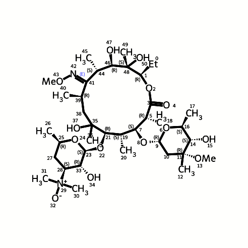 CC[C@H]1OC(=O)[C@H](C)[C@@H](O[C@H]2C[C@@](C)(OC)[C@@H](O)[C@H](C)O2)[C@H](C)[C@@H](O[C@@H]2O[C@H](C)C[C@H]([N+](C)(C)[O-])[C@H]2O)C(C)(O)C[C@@H](C)/C(=N\OC)[C@H](C)[C@@H](O)[C@]1(C)O